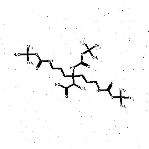 CC(C(=O)O)C(CCCNC(=O)OC(C)(C)C)(CCCNC(=O)OC(C)(C)C)NC(=O)OC(C)(C)C